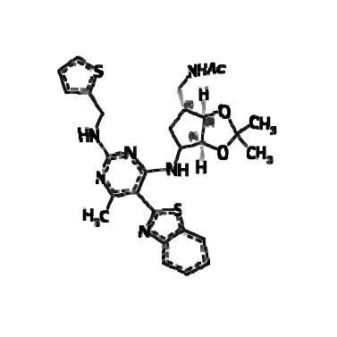 CC(=O)NC[C@H]1CC(Nc2nc(NCc3cccs3)nc(C)c2-c2nc3ccccc3s2)[C@@H]2OC(C)(C)O[C@H]12